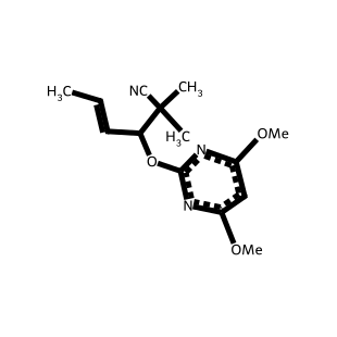 C/C=C/C(Oc1nc(OC)cc(OC)n1)C(C)(C)C#N